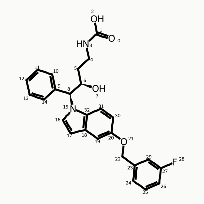 O=C(O)NCC[C@@H](O)[C@H](c1ccccc1)n1ccc2cc(OCc3cccc(F)c3)ccc21